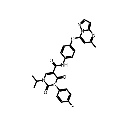 Cc1cc(Oc2ccc(NC(=O)c3cn(C(C)C)c(=O)n(-c4ccc(F)cc4)c3=O)cc2)n2nccc2n1